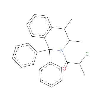 CC(Cl)C(=O)N1C(C)C(C)c2ccccc2C1(c1ccccc1)c1ccccc1